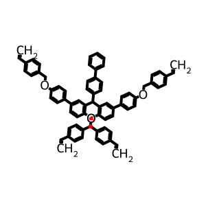 C=Cc1ccc(COc2ccc(-c3ccc(OCc4ccc(C=C)cc4)c(C(c4ccc(-c5ccccc5)cc4)c4cc(-c5ccc(OCc6ccc(C=C)cc6)cc5)ccc4OCc4ccc(C=C)cc4)c3)cc2)cc1